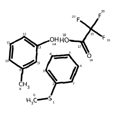 CSc1ccccc1.Cc1cccc(O)c1.O=C(O)C(F)(F)F